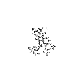 N#Cc1c(N)sc2c(F)ccc(-c3c(Cl)c4c5c(nc(OC[C@@]67CCCN6C[C@H](F)C7)nc5c3F)N3CCC(CC(F)F)NC(=O)CC3CCO4)c12